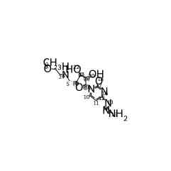 COCCNC[C@H]1O[C@@H](n2ccc(N=NN)nc2=O)[C@@H](O)[C@@H]1O